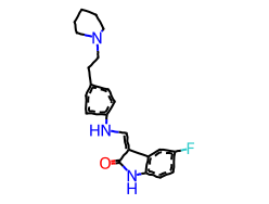 O=C1Nc2ccc(F)cc2C1=CNc1ccc(CCN2CCCCC2)cc1